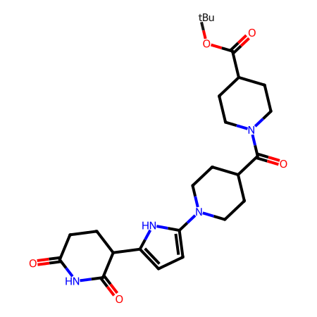 CC(C)(C)OC(=O)C1CCN(C(=O)C2CCN(c3ccc(C4CCC(=O)NC4=O)[nH]3)CC2)CC1